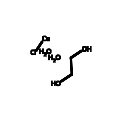 O.O.OCCO.[Cl][Cu]